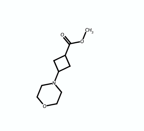 COC(=O)C1CC(N2CCOCC2)C1